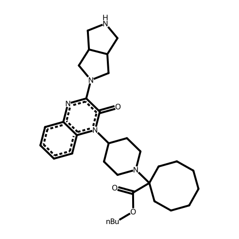 CCCCOC(=O)C1(N2CCC(n3c(=O)c(N4CC5CNCC5C4)nc4ccccc43)CC2)CCCCCCC1